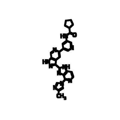 Cc1cn(-c2nccc3[nH]c(-c4n[nH]c5cnc(-c6cncc(NC(=O)C7CCCC7)c6)cc45)nc23)cn1